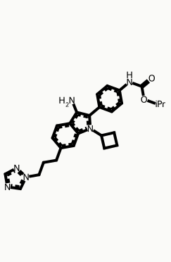 CC(C)OC(=O)Nc1ccc(-c2c(N)c3ccc(CCCn4cncn4)cc3n2C2CCC2)cc1